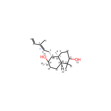 C=C/C(C)=C/C[C@@H]1[C@@]2(C)CCC(O)C(C)(C)[C@@H]2CC[C@@]1(C)O